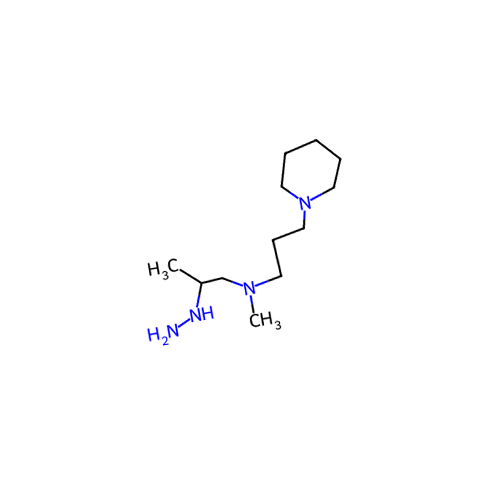 CC(CN(C)CCCN1CCCCC1)NN